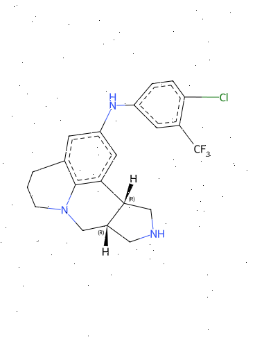 FC(F)(F)c1cc(Nc2cc3c4c(c2)[C@@H]2CNC[C@@H]2CN4CCC3)ccc1Cl